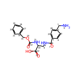 NCc1ccc(C(=O)NCC(NC(=O)OCc2ccccc2)C(=O)O)cc1